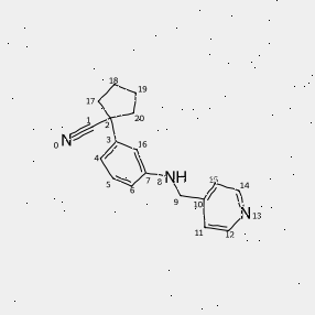 N#CC1(c2cccc(NCc3ccncc3)c2)CCCC1